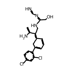 C=C(N)/C(CN/C(CO)=N\C=N)=C1/C=CC=C(c2ccc(Cl)cc2Cl)C1